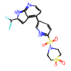 O=S1(=O)CCN(S(=O)(=O)c2ccc(-c3ccnc4[nH]c(C(F)F)cc34)cn2)CC1